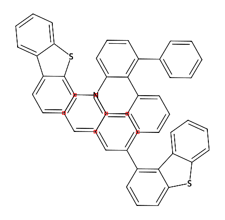 c1ccc(-c2ccccc2-c2c(-c3ccccc3)cccc2N(c2ccc(-c3cccc4sc5ccccc5c34)cc2)c2cccc3c2sc2ccccc23)cc1